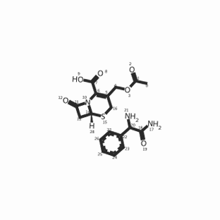 CC(=O)OCC1=C(C(=O)O)N2C(=O)C[C@H]2SC1.NC(=O)C(N)c1ccccc1